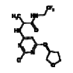 CC(Nc1cc(O[C@H]2CCOC2)nc(Cl)n1)C(=O)NCC(F)(F)F